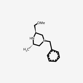 COC[C@H]1CN(Cc2ccccc2)C[C@H](C)N1